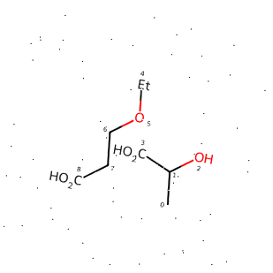 CC(O)C(=O)O.CCOCCC(=O)O